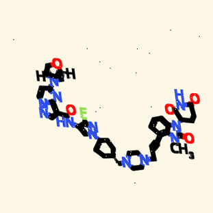 Cn1c(=O)n(C2CCC(=O)NC2=O)c2cccc(C#CCN3CCN(C[C@H]4CC[C@H](n5cc(NC(=O)c6cnn7ccc(N8C[C@H]9C[C@@H]8CO9)nc67)c(F)n5)CC4)CC3)c21